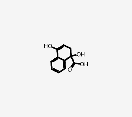 O=C(O)C1(O)CC=C(O)c2ccccc21